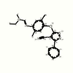 CCN(C)C=Nc1cc(C)c(Oc2snc(-c3ccccc3)c2C#N)cc1C